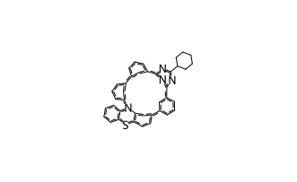 c1cc2cc(c1)c1nc(C3CCCCC3)nc(n1)c1cccc(c1)c1cccc(c1)n1c3ccccc3sc3ccc2cc3-1